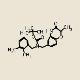 Cc1cccc(CN(Cc2ccc3c(c2)NC(=O)C(C)O3)C(=O)OC(C)(C)C)c1C